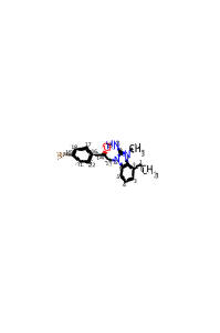 CCc1cccc2c1n(C)c(=N)n2CC(=O)c1ccc(Br)cc1